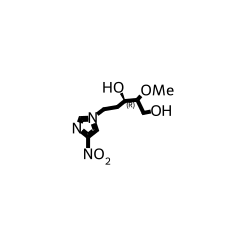 COC(CO)[C@H](O)CCn1cnc([N+](=O)[O-])c1